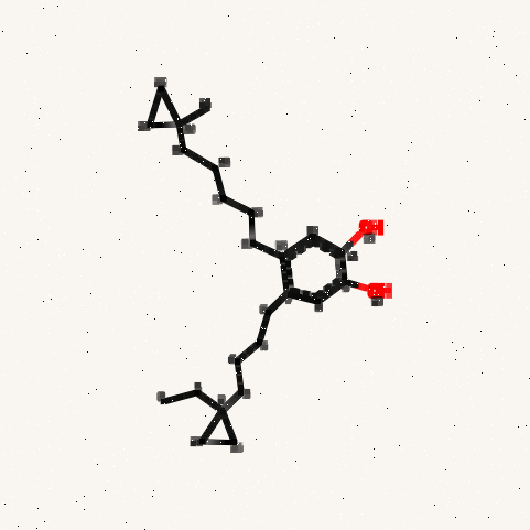 CCC1(CCCCc2cc(O)c(O)cc2CCCCCC2(C)CC2)CC1